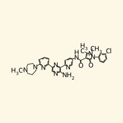 Cc1c(C(=O)Nc2ccc(-c3nc(-c4cccc(N5CCCN(C)CC5)n4)cnc3N)nc2)c(=O)n(-c2cccc(Cl)c2)n1C